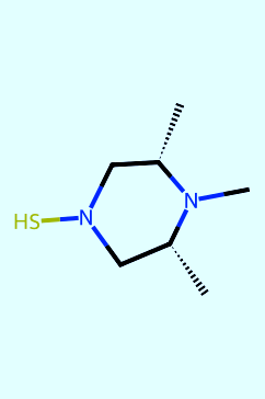 C[C@@H]1CN(S)C[C@H](C)N1C